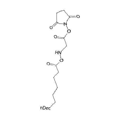 CCCCCCCCCCCCCCCC(=O)ONCC(=O)ON1C(=O)CCC1=O